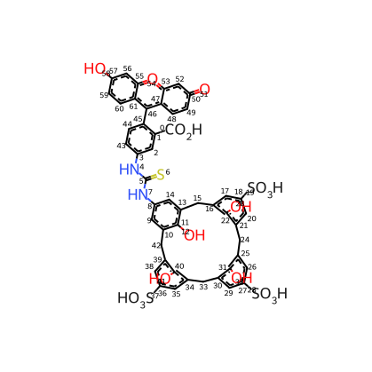 O=C(O)c1cc(NC(=S)Nc2cc3c(O)c(c2)Cc2cc(S(=O)(=O)O)cc(c2O)Cc2cc(S(=O)(=O)O)cc(c2O)Cc2cc(S(=O)(=O)O)cc(c2O)C3)ccc1-c1c2ccc(=O)cc-2oc2cc(O)ccc12